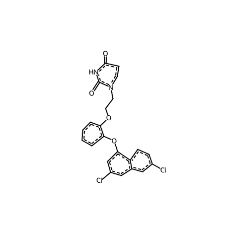 O=c1ccn(CCOc2ccccc2Oc2cc(Cl)cc3cc(Cl)ccc23)c(=O)[nH]1